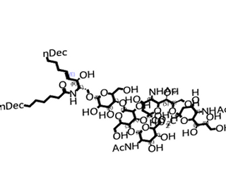 CCCCCCCCCCCCC/C=C/[C@@H](O)[C@H](CO[C@@H]1OC(CO)[C@@H](O[C@@H]2OC(CO)[C@H](O[C@@H]3OC(CO)[C@H](O)[C@H](O)C3NC(C)=O)[C@H](O[C@]3(C(=O)O)CC(O)[C@@H](NC(C)=O)C([C@H](O)[C@@H](CO)O[C@]4(C(=O)O)CC(O)[C@@H](NC(C)=O)C([C@H](O)[C@H](O)CO)O4)O3)C2O)[C@H](O)C1O)NC(=O)CCCCCCCCCCCCCCC